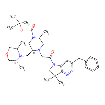 CC1CN(CC(=O)N2CC(C)(C)c3ncc(Cc4ccccc4)cc32)[C@@H](CN2C(C)COC[C@H]2C)CN1C(=O)OC(C)(C)C